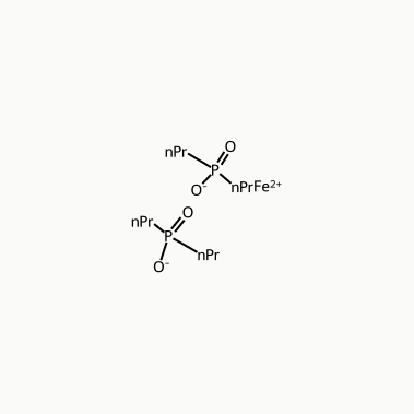 CCCP(=O)([O-])CCC.CCCP(=O)([O-])CCC.[Fe+2]